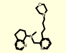 CN(Cc1ncccc1CCCCN1CCOCC1)C1CCCc2cccnc21